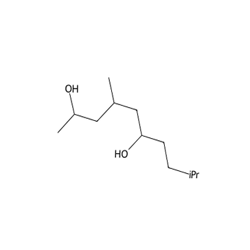 CC(C)CCC(O)CC(C)CC(C)O